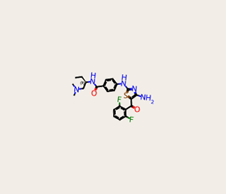 CC[C@H](CN(C)C)NC(=O)c1ccc(Nc2nc(N)c(C(=O)c3c(F)cccc3F)s2)cc1